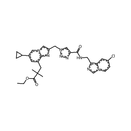 CCOC(=O)C(C)(C)Cc1cc(C2CC2)cn2cc(Cn3cc(C(=O)NCc4ncn5ccc(Cl)cc45)nn3)nc12